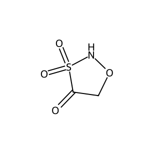 O=C1CONS1(=O)=O